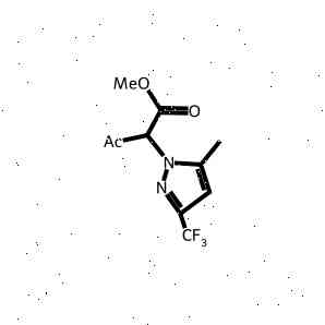 COC(=O)C(C(C)=O)n1nc(C(F)(F)F)cc1C